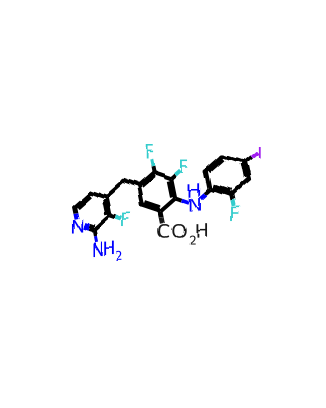 Nc1nccc(Cc2cc(C(=O)O)c(Nc3ccc(I)cc3F)c(F)c2F)c1F